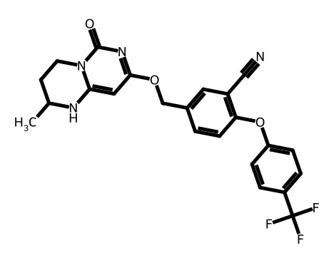 CC1CCn2c(cc(OCc3ccc(Oc4ccc(C(F)(F)F)cc4)c(C#N)c3)nc2=O)N1